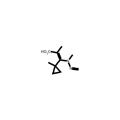 C=NN(C)/C(=C(\C)C(=O)O)C1(C)CC1